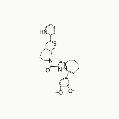 COc1ccc(/C2=C/C=C\CCc3cc(C(=O)N4CCCC(CC(=S)C5C=CC=CN5)[C@@H](C)C4)nn32)cc1OC